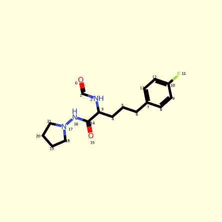 O=CNC(CCCc1ccc(F)cc1)C(=O)NN1CCCC1